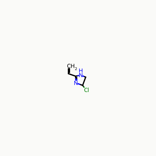 C=CC1=NC(Cl)CN1